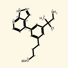 CCC(C)(CN)c1cc(CCCOC)cc(-c2ccnc3[nH]ncc23)c1